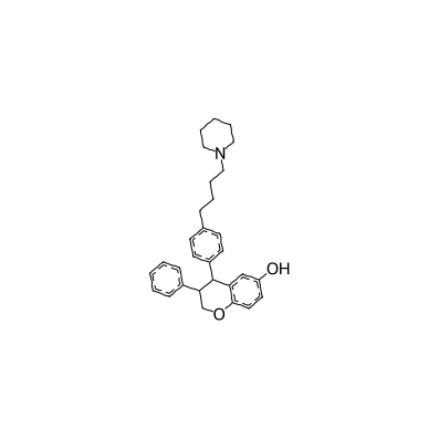 Oc1ccc2c(c1)C(c1ccc(CCCCN3CCCCC3)cc1)C(c1ccccc1)CO2